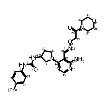 CC(C)c1ccc(NC(=O)NC2CCN(c3ncnc(N)c3/C=N/OCC(=O)N3CCOCC3)C2)cc1